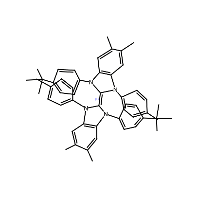 Cc1ccc(N2/C(=C3/N(c4ccc(C)cc4)c4cc(C)c(C)cc4N3c3ccc(C(C)(C)C)cc3)N(c3ccc(C(C)(C)C)cc3)c3cc(C)c(C)cc32)cc1